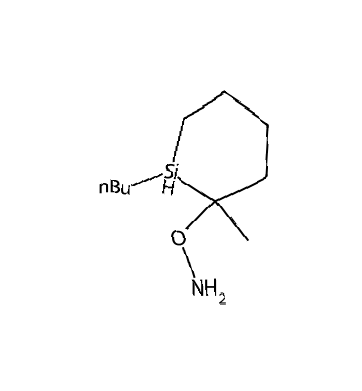 CCCC[SiH]1CCCCC1(C)ON